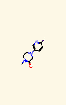 CN1CCN(c2ccc(I)nc2)CC1=O